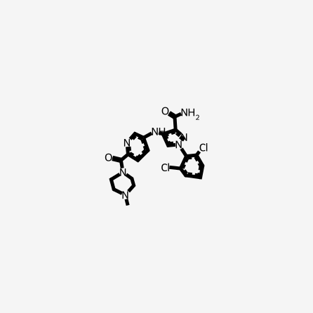 CN1CCN(C(=O)c2ccc(Nc3cn(-c4c(Cl)cccc4Cl)nc3C(N)=O)cn2)CC1